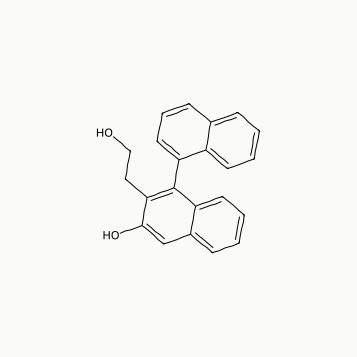 OCCc1c(O)cc2ccccc2c1-c1cccc2ccccc12